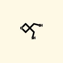 SCC1(CS)COC1